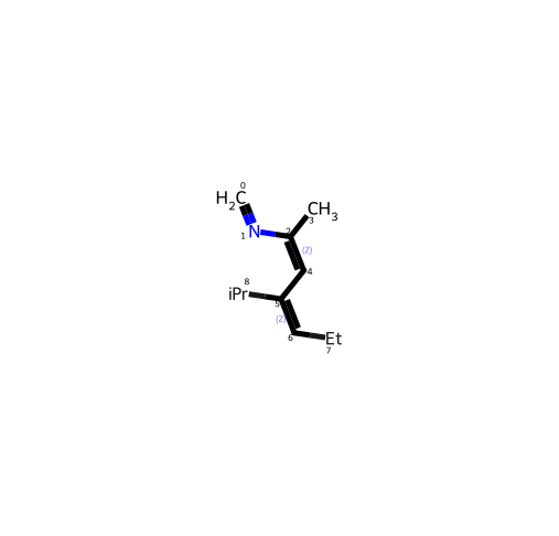 C=N/C(C)=C\C(=C/CC)C(C)C